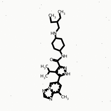 CCC(CC)CNC1CCC(NC(=O)c2n[nH]c(-c3cc(C)c4ncnn4c3)c2C(C)C)CC1